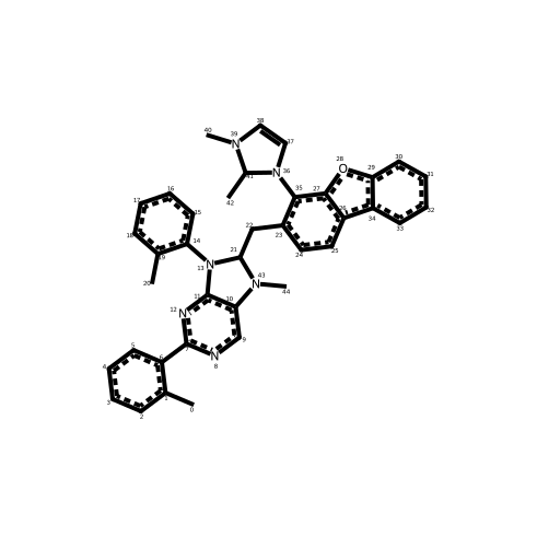 Cc1ccccc1-c1ncc2c(n1)N(c1ccccc1C)C(Cc1ccc3c(oc4ccccc43)c1N1C=CN(C)C1C)N2C